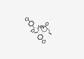 C=CC[C@@]1(C)C[C@H](c2cccc(Cl)c2)[C@H](C(C=C)C[C@H](OC)c2ccc(Cl)cc2)NC1=O